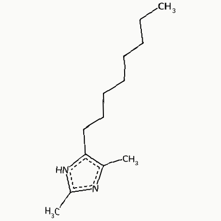 CCCCCCCCc1[nH]c(C)nc1C